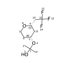 CC(C)(O)O[C@@H]1CCO[C@H](CC(F)(F)F)C1